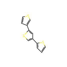 c1csc(-c2csc(-c3ccsc3)c2)c1